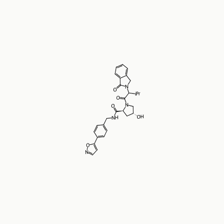 CC(C)C(C(=O)N1C[C@H](O)C[C@H]1C(=O)NCc1ccc(-c2ccno2)cc1)N1Cc2ccccc2C1=O